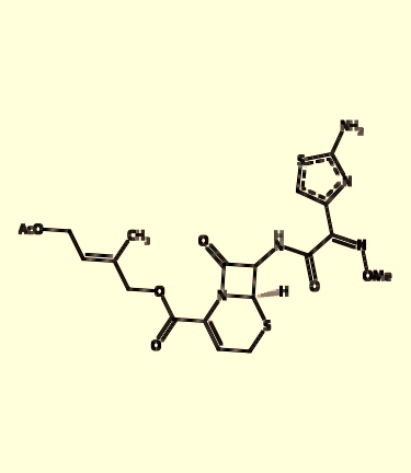 CO/N=C(\C(=O)NC1C(=O)N2C(C(=O)OC/C(C)=C/COC(C)=O)=CCS[C@H]12)c1csc(N)n1